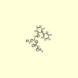 C=CC(=O)OC(C)COc1ccccc1-c1ccccc1